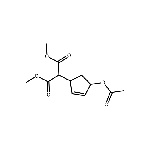 COC(=O)C(C(=O)OC)C1C=CC(OC(C)=O)C1